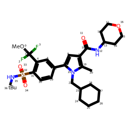 COC(F)(F)c1cc(-c2cc(C(=O)NC3CCOCC3)c(C)n2CC2CCCCC2)ccc1S(=O)(=O)NC(C)(C)C